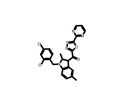 Cc1ccc2c(c1)C(C(=O)c1nnc(-c3ncccn3)o1)C(C)N2Cc1ccc(Cl)cc1Cl